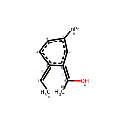 C/C=c1/ccc(CCC)c/c1=C(/C)O